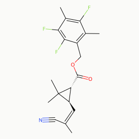 CC(C#N)=C[C@@H]1[C@@H](C(=O)OCc2c(C)c(F)c(C)c(F)c2F)C1(C)C